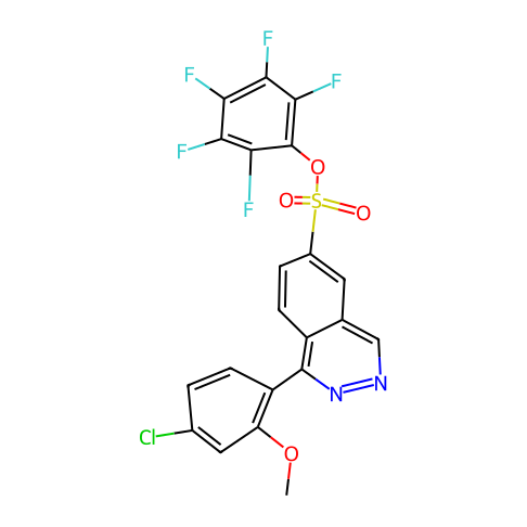 COc1cc(Cl)ccc1-c1nncc2cc(S(=O)(=O)Oc3c(F)c(F)c(F)c(F)c3F)ccc12